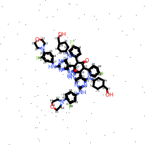 O=C(C(c1ccc(F)cc1)c1c[nH]c2nc(Nc3ccc(N4CCOCC4)c(F)c3)nc(NC3CCC(CO)CC3)c12)C(c1ccc(F)cc1)c1c[nH]c2nc(Nc3ccc(N4CCOCC4)c(F)c3)nc(NC3CCC(CO)CC3)c12